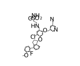 COc1cccc(-c2cccc3c2CC[C@@H]3Oc2cc(OCc3cncc(C#N)c3)c(CNCCS(N)(=O)=O)cc2Cl)c1F